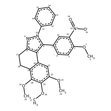 COc1ccc(-c2c3c(nn2-c2ccccc2)CCc2c-3cc(OC)c(OC)c2OC)cc1[N+](=O)[O-]